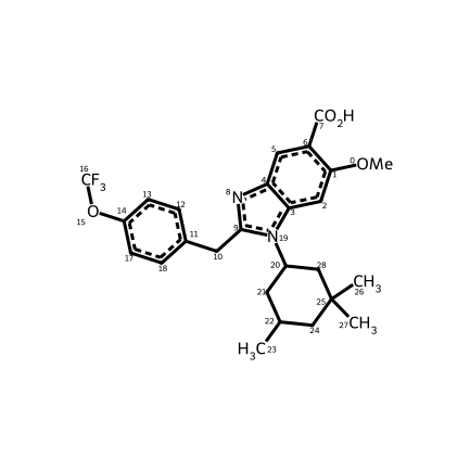 COc1cc2c(cc1C(=O)O)nc(Cc1ccc(OC(F)(F)F)cc1)n2C1CC(C)CC(C)(C)C1